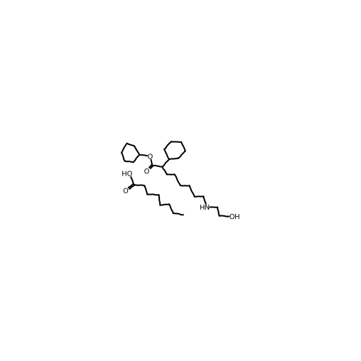 CCCCCCCC(=O)O.O=C(OC1CCCCC1)C(CCCCCCNCCO)C1CCCCC1